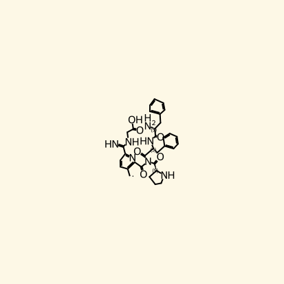 [CH2]c1ccc(C(=N)NCC(=O)O)nc1C(=O)N(C(=O)[C@@H]1CCCN1)C(=O)[C@H](Cc1ccccc1)NC(=O)[C@@H](N)Cc1ccccc1